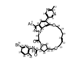 CC(=O)c1nn2c3cc(c(-c4cnc(C)nc4)cc13)OCCC/C=C/COC[C@]1(C)C[C@@H](C(=O)Nc3nc(Br)ccc3C)N(C1)C(=O)C2